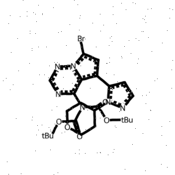 CC(C)(C)OC(=O)N(C(=O)OC(C)(C)C)c1ncnn2c(Br)cc(-c3ccnn3C3CCOCC3)c12